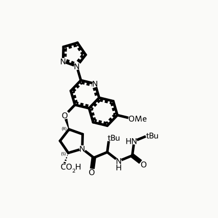 COc1ccc2c(O[C@@H]3C[C@@H](C(=O)O)N(C(=O)C(NC(=O)NC(C)(C)C)C(C)(C)C)C3)cc(-n3cccn3)nc2c1